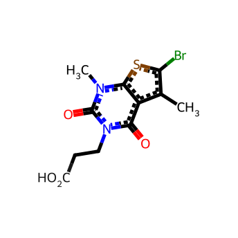 Cc1c(Br)sc2c1c(=O)n(CCC(=O)O)c(=O)n2C